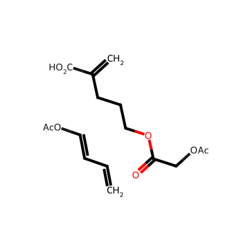 C=C(CCCOC(=O)COC(C)=O)C(=O)O.C=CC=COC(C)=O